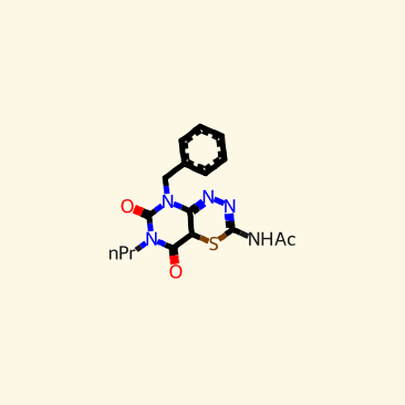 CCCN1C(=O)C2SC(NC(C)=O)=NN=C2N(Cc2ccccc2)C1=O